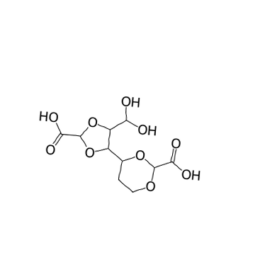 O=C(O)C1OCCC(C2OC(C(=O)O)OC2C(O)O)O1